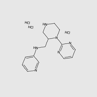 Cl.Cl.Cl.c1cnc(N2CCNCC2CNc2cccnc2)nc1